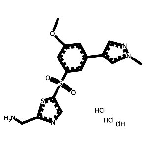 COc1cc(-c2cnn(C)c2)cc(S(=O)(=O)c2cnc(CN)s2)c1.Cl.Cl.Cl